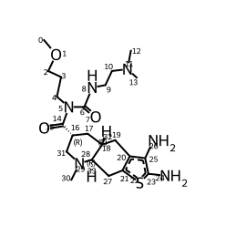 COCCCN(C(=O)NCCN(C)C)C(=O)[C@@H]1C[C@@H]2Cc3c(sc(N)c3N)C[C@H]2N(C)C1